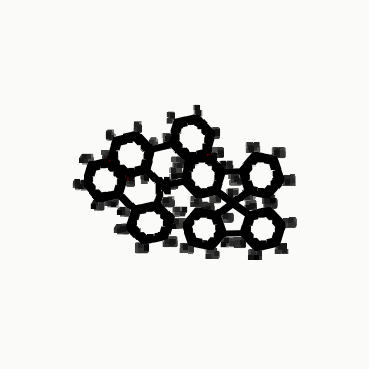 c1ccc(-c2ccccc2N(c2ccc3c(c2)C2(c4ccccc4-c4ccccc42)c2ccccc2-3)c2ccccc2-c2ccccc2)cc1